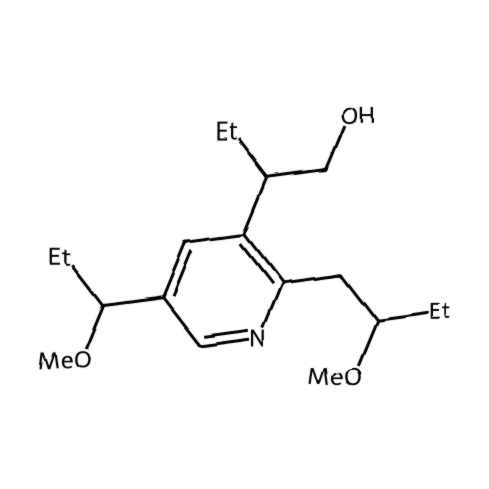 CCC(Cc1ncc(C(CC)OC)cc1C(CC)CO)OC